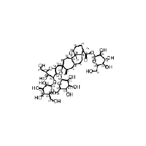 C=C1CC2CCC3[C@](C)(C(=O)OC4OC(CO)C(O)C(O)C4O)CCC[C@@]3(C)[C@@H]2CCC1(C)CC1OC(CO)C(O)C(OC2OC(CO)C(O)C(O)C2O)C1OC1OC(CO)C(O)C(O)C1O